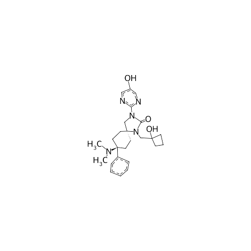 CN(C)[C@]1(c2ccccc2)CC[C@]2(CC1)CN(c1ncc(O)cn1)C(=O)N2CC1(O)CCC1